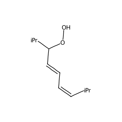 CC(C)/C=C\C=C\C(OO)C(C)C